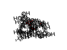 CN[C@H](CC(C)C)C(=O)N[C@H]1C(=O)N[C@@H](CC(N)=O)C(=O)N[C@H]2C(=O)N[C@H]3C(=O)N[C@H](C(=O)NCc4cc(O)cc(O)c4-c4cc3ccc4O)[C@H](O)c3ccc(c(Cl)c3)Oc3cc2cc(c3OC2O[C@@H](CO)[C@@H](O)[C@H](O)[C@@H]2O[C@@H]2C[C@](C)(N)[C@H](O)[C@@H](C)O2)Oc2ccc(cc2Cl)[C@H]1O